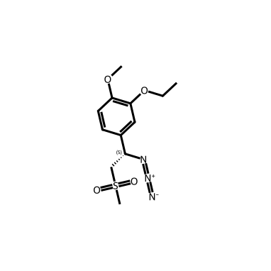 CCOc1cc([C@@H](CS(C)(=O)=O)N=[N+]=[N-])ccc1OC